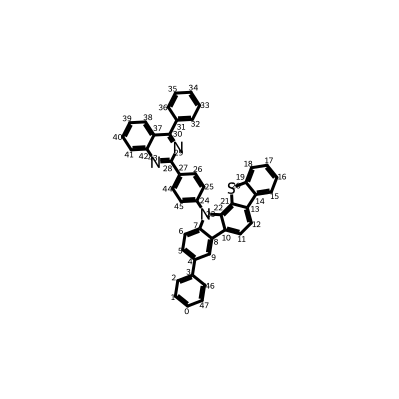 c1ccc(-c2ccc3c(c2)c2ccc4c5ccccc5sc4c2n3-c2ccc(-c3nc(-c4ccccc4)c4ccccc4n3)cc2)cc1